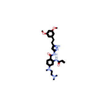 C=CC(=O)Nc1cc(N(C)CCN(C)C)ccc1C(=O)Nc1cc(CCc2cc(OC)cc(OC)c2)[nH]n1